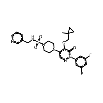 CC1(COc2c(N3CCN(S(=O)(=O)NCc4cccnc4)CC3)cnn(-c3cc(F)cc(F)c3)c2=O)CC1